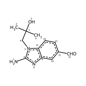 CC(C)(O)Cn1c(N)nc2cc(C=O)ccc21